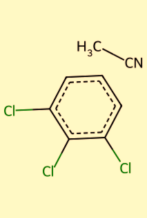 CC#N.Clc1cccc(Cl)c1Cl